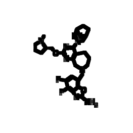 CN1CCC[C@@H]1COc1nc2c(c(N3CC4CCC(C3)N4)n1)CCCN(Cc1cc(F)c(F)c3nc(N)oc13)C2